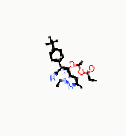 CCC(=O)OC(C)O/C(=C(/C#N)c1ccc(C(C)(C)C)cc1)c1cc(C)nn1CC